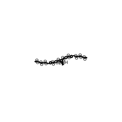 C=CC(=O)OCCOC(=O)CCC(=O)OCCc1ccc(OC(=O)C2CCC(C(=O)Oc3cc(C)c(OC(=O)C4CCC(C(=O)Oc5ccc(CCOC(=O)CCC(=O)OCCOC(=O)C=C)cc5)CC4)c4c3NC(=C(C)C)N4)CC2)cc1